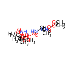 C=C(C)C(=O)O.C=C(C)C(=O)O.C=C(C)C(=O)OCCOC(=O)NCCC(C)CC(C)(C)CNC(=O)OCCOC(=O)C(=C)C.CCOC(N)=O